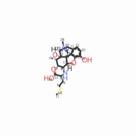 CO[C@@]12CC[C@@H](N[C@@H](CCSC)C(=O)O)[C@@H]3Oc4c(O)ccc5c4[C@@]31CCN(C)[C@@H]2C5